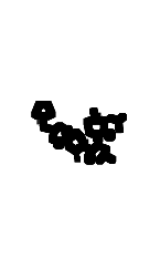 CC(C)C[C@H]1C(=O)N([C@@H](CC(C)C)C(=O)N2CCC3(C[C@H]2C)OCC(CN2CCCC2)CO3)CCN1C